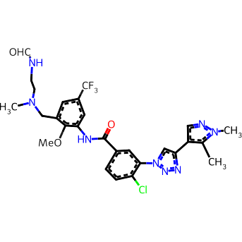 COc1c(CN(C)CCNC=O)cc(C(F)(F)F)cc1NC(=O)c1ccc(Cl)c(-n2cc(-c3cnn(C)c3C)nn2)c1